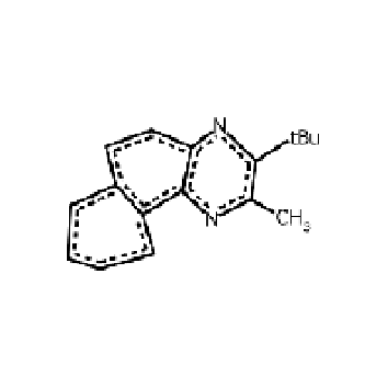 Cc1nc2c(ccc3ccccc32)nc1C(C)(C)C